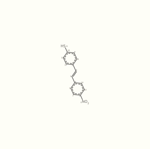 O=[N+]([O-])c1ccc(/C=C/c2ccc(S)cc2)cc1